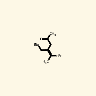 CCC/C(C)=C(\CC(C)F)CC(C)CC